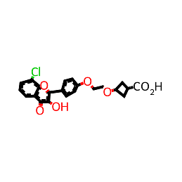 O=C(O)C1CC(OCCOc2ccc(-c3oc4c(Cl)cccc4c(=O)c3O)cc2)C1